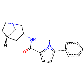 Cn1c(C(=O)N[C@@H]2C[C@@H]3CCN(C3)C2)ccc1-c1ccccc1